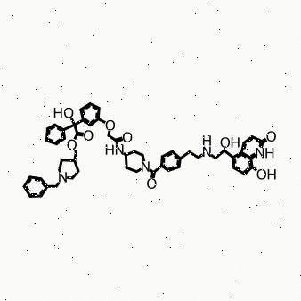 O=C(COc1cccc(C(O)(C(=O)OCC2CCN(Cc3ccccc3)CC2)c2ccccc2)c1)NC1CCN(C(=O)c2ccc(CCNC[C@H](O)c3ccc(O)c4[nH]c(=O)ccc34)cc2)CC1